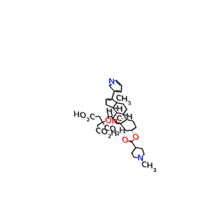 CN1CCC(C(=O)O[C@H]2CC[C@@]3(C)C(=CC[C@@H]4[C@@H]3CC[C@]3(C)C(c5cccnc5)=CC[C@@H]43)C2)CC1.O=C(O)CC(O)(CC(=O)O)C(=O)O